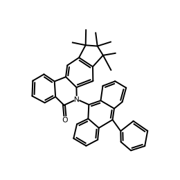 CC1(C)c2cc3c4ccccc4c(=O)n(-c4c5ccccc5c(-c5ccccc5)c5ccccc45)c3cc2C(C)(C)C1(C)C